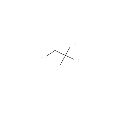 CCC(C)CC(C)(O)C(C)=O